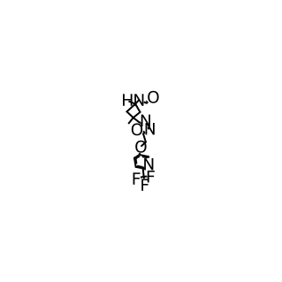 CC1(NC=O)CC(C)(c2nnc(COc3ccc(C(F)(F)F)nc3)o2)C1